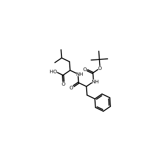 CC(C)CC(NC(=O)C(Cc1ccccc1)NC(=O)OC(C)(C)C)C(=O)O